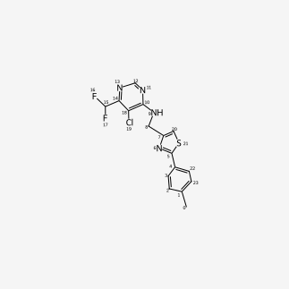 Cc1ccc(-c2nc(CNc3ncnc(C(F)F)c3Cl)cs2)cc1